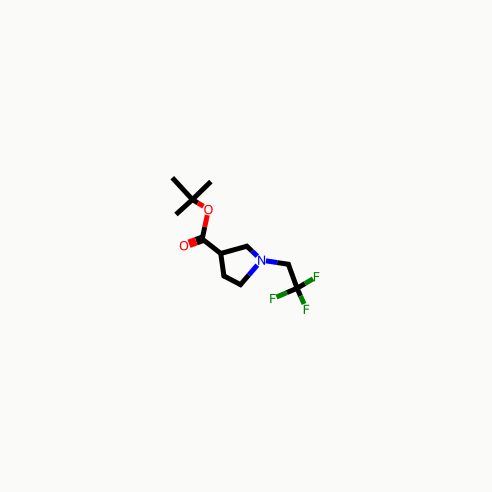 CC(C)(C)OC(=O)C1CCN(CC(F)(F)F)C1